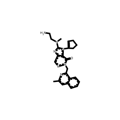 Cc1cc2ccccc2c(Cn2ncc3nc(N(C)CCN)n(C4=CCCC4)c3c2=O)n1